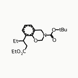 CCOC(=O)CC(CC)c1cccc2c1OCN(C(=O)OC(C)(C)C)C2